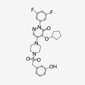 O=c1c(OC2CCCC2)c(N2CCN(S(=O)(=O)Cc3cccc(O)c3)CC2)cnn1-c1cc(F)cc(F)c1